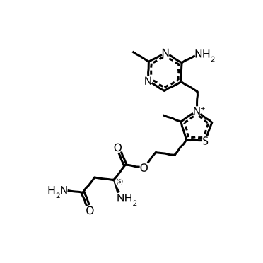 Cc1ncc(C[n+]2csc(CCOC(=O)[C@@H](N)CC(N)=O)c2C)c(N)n1